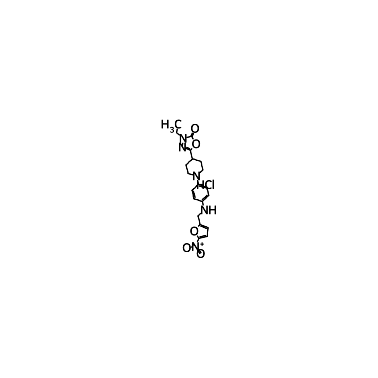 CCn1nc(C2CCN(c3ccc(NCc4ccc([N+](=O)[O-])o4)cc3)CC2)oc1=O.Cl